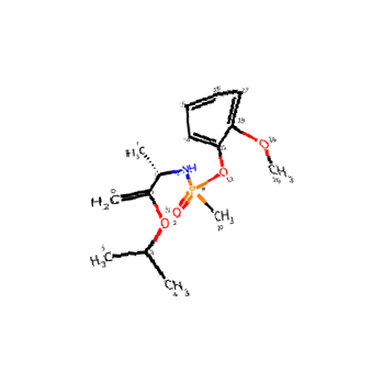 C=C(OC(C)C)[C@H](C)NP(C)(=O)Oc1ccccc1OC